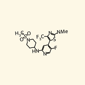 CNc1nc(C(F)(F)F)c(-c2cc(NC3CCN(S(C)(=O)=O)CC3)ncc2F)s1